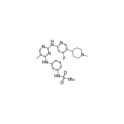 Cc1cnc(Nc2cc(F)c(C3CCN(C)CC3)cn2)nc1Nc1cccc(NS(=O)(=O)C(C)(C)C)c1